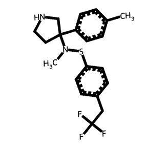 Cc1ccc(C2(N(C)Sc3ccc(CC(F)(F)F)cc3)CCNC2)cc1